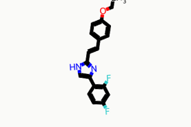 CCOc1ccc(C=Cc2nc(-c3ccc(F)cc3F)c[nH]2)cc1